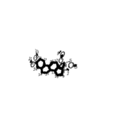 COC[C@]1([C@@H](C)OOC)CCC2C3CCC4=C(CCC(OC)(OC)C4)C3=CC[C@@]21C